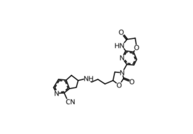 N#Cc1nccc2c1CC(NCCCC1CN(c3ccc4c(n3)NC(=O)CO4)C(=O)O1)C2